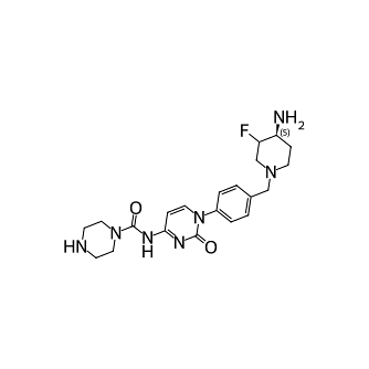 N[C@H]1CCN(Cc2ccc(-n3ccc(NC(=O)N4CCNCC4)nc3=O)cc2)CC1F